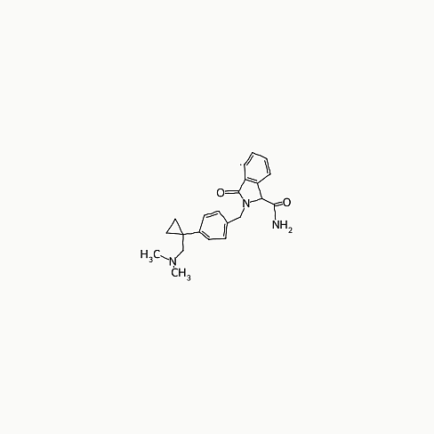 CN(C)CC1(c2ccc(CN3C(=O)c4[c]cccc4C3C(N)=O)cc2)CC1